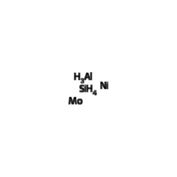 [AlH3].[Mo].[Ni].[SiH4]